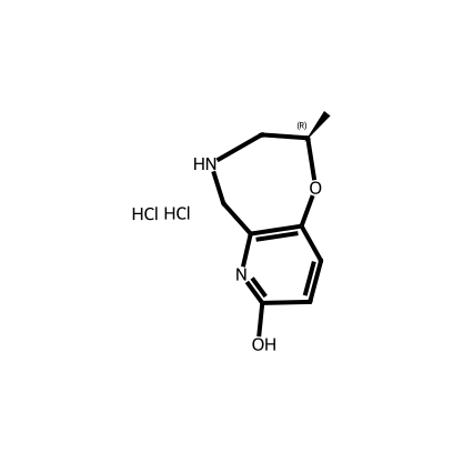 C[C@@H]1CNCc2nc(O)ccc2O1.Cl.Cl